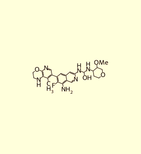 COC1COCCC1NC(O)Nc1cc2cc(-c3cnc4c(c3C)NCCO4)c(F)c(N)c2cn1